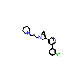 Clc1cccc(-c2cncc(C3=C4C=C4N(CCCN4CCCCC4)C3)c2)c1